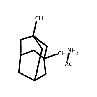 CC(N)=O.CC12CC3CC(C1)CC(C)(C3)C2